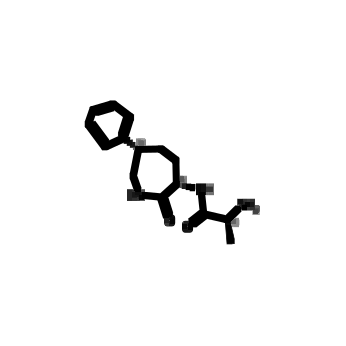 C[C@H](N)C(=O)N[C@H]1CC[C@@H](c2ccccc2)CNC1=O